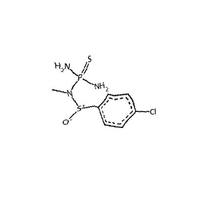 CN([S+]([O-])c1ccc(Cl)cc1)P(N)(N)=S